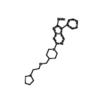 CC(=O)Nc1sc2nc(N3CCC(COCCN4CCCC4)CC3)ncc2c1-c1ccccc1